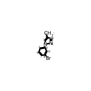 [CH2]c1cn(-c2cccc(Br)c2)nn1